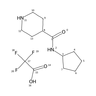 O=C(NC1CCCC1)C1CCNCC1.O=C(O)C(F)(F)F